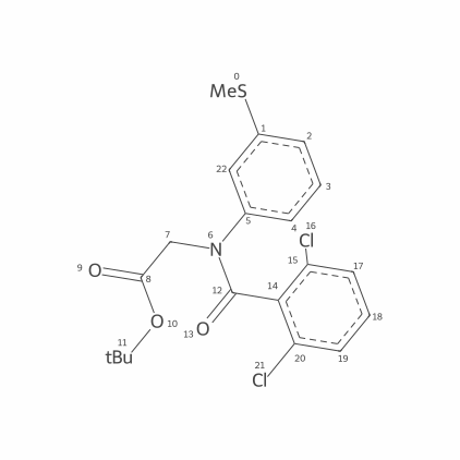 CSc1cccc(N(CC(=O)OC(C)(C)C)C(=O)c2c(Cl)cccc2Cl)c1